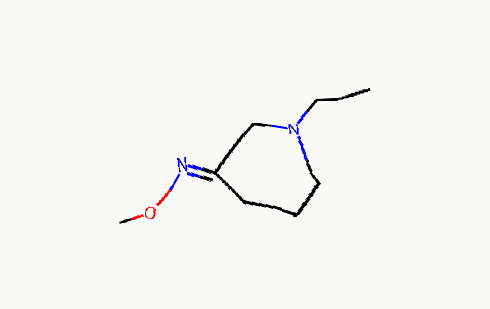 CCN1CCC/C(=N\OC)C1